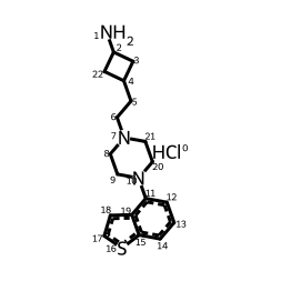 Cl.NC1CC(CCN2CCN(c3cccc4sccc34)CC2)C1